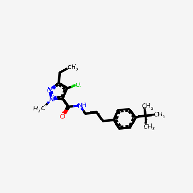 CCc1nn(C)c(C(=O)NCCCc2ccc(C(C)(C)C)cc2)c1Cl